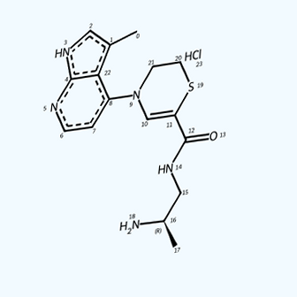 Cc1c[nH]c2nccc(N3C=C(C(=O)NC[C@@H](C)N)SCC3)c12.Cl